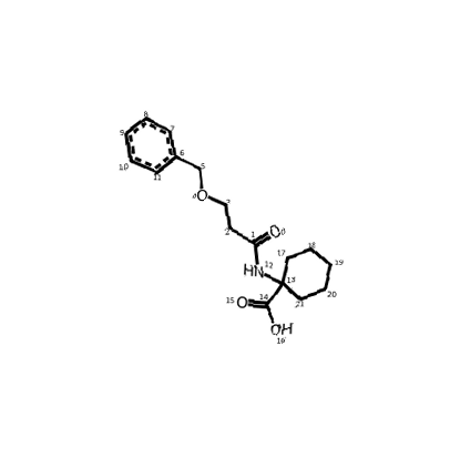 O=C(CCOCc1ccccc1)NC1(C(=O)O)CCCCC1